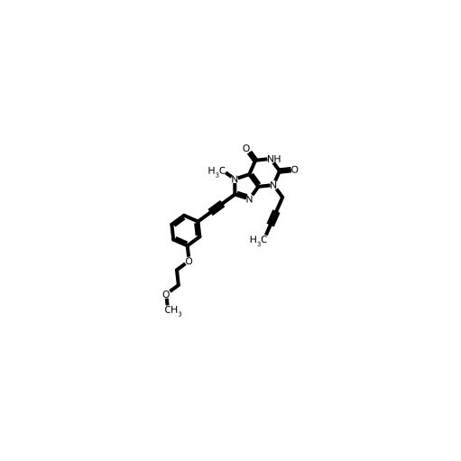 CC#CCn1c(=O)[nH]c(=O)c2c1nc(C#Cc1cccc(OCCOC)c1)n2C